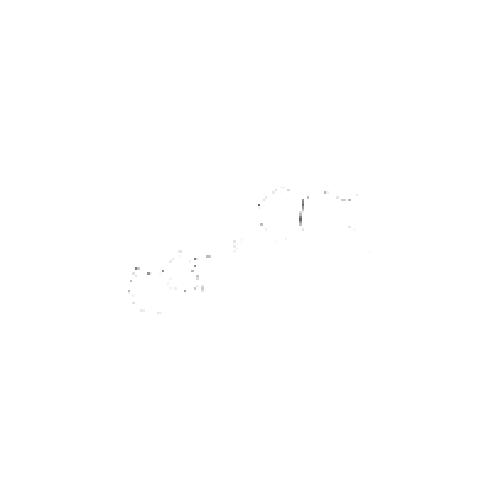 CN(CCF)CC1=CCC(C#Cc2cc3cccnc3[nH]2)C=C1